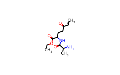 C=CC(=O)CCC(NC(=O)C(C)N)C(=O)OCC